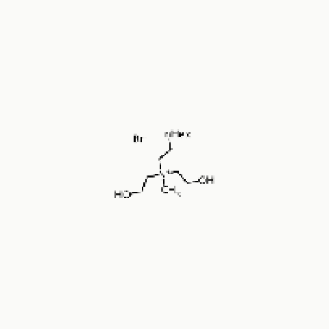 CCCCCCCC[N+](C)(CCO)CCO.[Br-]